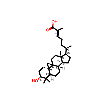 C/C(=C\CC[C@@H](C)[C@H]1CC[C@@]2(C)[C@@H]3CC[C@H]4C(C)(C)[C@@H](O)CC[C@@]45C[C@@]35CC[C@]12C)C(=O)O